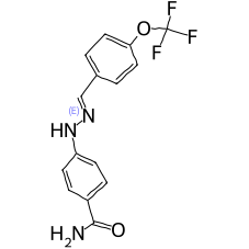 NC(=O)c1ccc(N/N=C/c2ccc(OC(F)(F)F)cc2)cc1